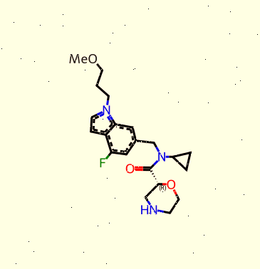 COCCCn1ccc2c(F)cc(CN(C(=O)[C@H]3CNCCO3)C3CC3)cc21